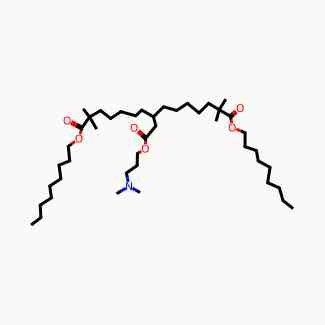 CCCCCCCCCOC(=O)C(C)(C)CCCCCC(CCCCCC(C)(C)C(=O)OCCCCCCCCC)CC(=O)OCCCN(C)C